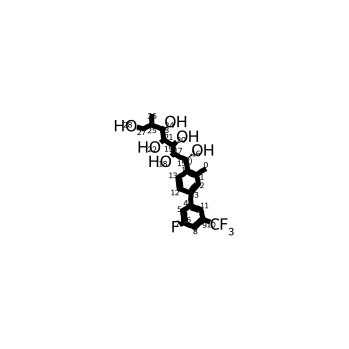 Cc1cc(-c2cc(F)cc(C(F)(F)F)c2)ccc1[C@@H](O)C(O)C(O)C(O)C(O)C(C)CO